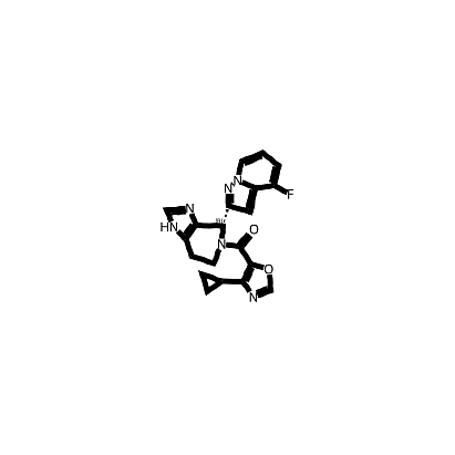 O=C(c1ocnc1C1CC1)N1CCc2[nH]cnc2[C@@H]1c1cc2c(F)cccn2n1